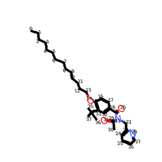 CCCCCCCCCCCCCCOc1ccc(C(=O)N(Cc2ccccn2)C(C)=O)cc1C(C)(C)C